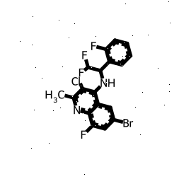 Cc1nc2c(F)cc(Br)cc2c(NC(c2ccccc2F)C(F)F)c1Cl